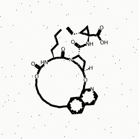 C=C[C@@H]1C[C@]1(NC(=O)[C@@H]1C[C@@H]2CN1C(=O)[C@H](CCCC)NC(=O)OCCCCCc1ccc3ccnc(c3c1)O2)C(=O)O